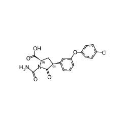 NC(=O)N1C(=O)[C@H](c2cccc(Oc3ccc(Cl)cc3)c2)C[C@@H]1C(=O)O